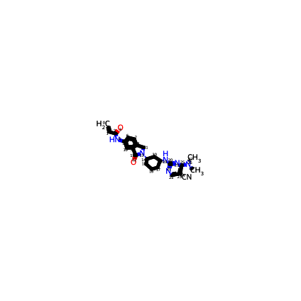 C=CC(=O)Nc1ccc2c(c1)C(=O)N([C@H]1CCC[C@@H](Nc3ncc(C#N)c(N(C)C)n3)C1)C2